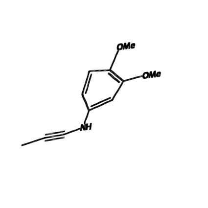 CC#CNc1ccc(OC)c(OC)c1